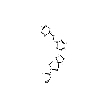 CC(C)(C)OC(=O)N1CCC2(CC1)CC(c1cccc(OCc3ccccc3)c1)CO2